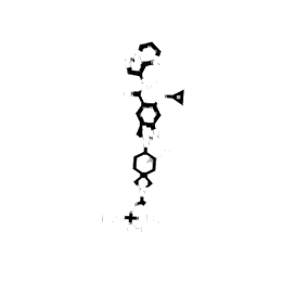 C[C@@H]1CC2(CCC1n1cc3cc(C(=O)Nc4cnn5cccnc45)c(OC4CC4)cc3n1)CN(C(=O)OC(C)(C)C)C2